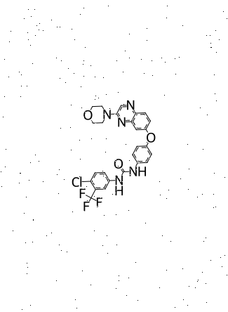 O=C(Nc1ccc(Oc2ccc3ncc(N4CCOCC4)nc3c2)cc1)Nc1ccc(Cl)c(C(F)(F)F)c1